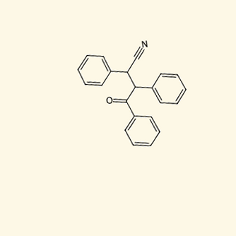 N#CC(c1ccccc1)C(C(=O)c1ccccc1)c1ccccc1